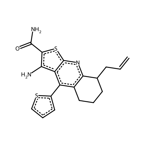 C=CCC1CCCc2c1nc1sc(C(N)=O)c(N)c1c2-c1cccs1